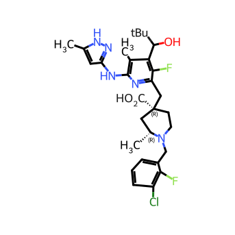 Cc1cc(Nc2nc(C[C@@]3(C(=O)O)CCN(Cc4cccc(Cl)c4F)[C@H](C)C3)c(F)c(C(O)C(C)(C)C)c2C)n[nH]1